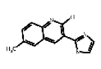 Cc1ccc2nc(Cl)c(C3=NC=C[N]3)cc2c1